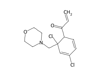 C=CC(=O)C1C=CC(Cl)=CC1(Cl)CN1CCOCC1